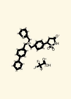 O=C(O)C(F)(F)F.O=C1CC(c2ccc(CN(Cc3ccc(-c4ccccc4)cc3)Cc3ccccn3)cc2)S(=O)(=O)N1